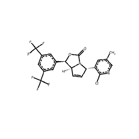 Cc1cnc(Cl)c([C@@H]2C=C[C@H]3[C@@H](c4cc(C(F)(F)F)cc(C(F)(F)F)c4)OC(=O)N23)c1